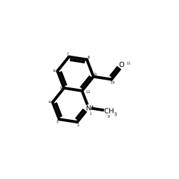 C[n+]1cccc2cccc(C=O)c21